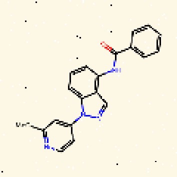 COc1cc(-n2ncc3c(NC(=O)c4ccccc4)cccc32)ccn1